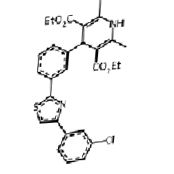 CCOC(=O)C1=C(C)NC(C)=C(C(=O)OCC)C1c1cccc(-c2nc(-c3cccc(Cl)c3)cs2)c1